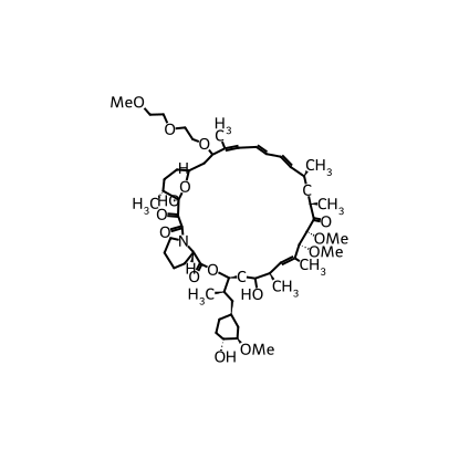 COCCOCCOC1C[C@@H]2CC[C@@H](C)[C@@](O)(O2)C(=O)C(=O)N2CCCC[C@H]2C(=O)O[C@H]([C@H](C)C[C@@H]2CC[C@@H](O)[C@H](OC)C2)CC(O)[C@H](C)/C=C(\C)[C@@H](OC)[C@@H](OC)C(=O)[C@H](C)C[C@H](C)/C=C/C=C/C=C/1C